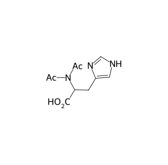 CC(=O)N(C(C)=O)C(Cc1c[nH]cn1)C(=O)O